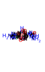 Nc1nc2c(ncn2[C@@H]2C[C@@H]3CO[PH](=O)O[C@@H]4[C@@H](CNS(=O)(=O)O[C@@H]2[C@@H]3O)OC(n2cnc3c(N)ncnc32)[C@@H]4F)c(=O)[nH]1